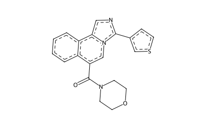 O=C(c1cn2c(-c3ccsc3)ncc2c2ccccc12)N1CCOCC1